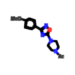 COc1ccc(-c2noc(N3CCN(C(C)=O)CC3)n2)cc1